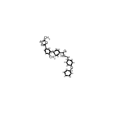 Cc1nnc(-c2ccc(C)c(-c3ccc(C(=O)NCc4ccc(Oc5ccccc5)cc4)cc3)c2)o1